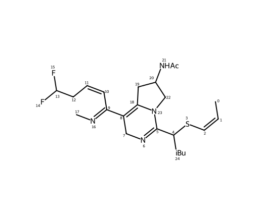 C/C=C\SC(C1=NCC(C(/C=C\CC(F)F)=N/C)=C2CC(NC(C)=O)CN12)C(C)CC